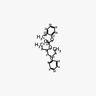 CCC(CN(CC)c1ccccc1)OC(=O)Oc1ccccc1C